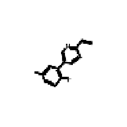 C=Cc1ccc(-c2cc(C)ccc2F)cn1